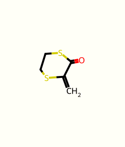 C=C1SCCSC1=O